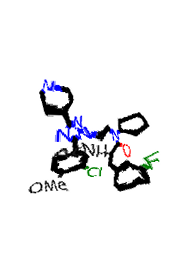 COc1ccc(-c2nc(-c3ccncc3)nn2CCN(C(=O)[C@H](Cc2cccc(F)c2)NC(C)=O)C2CCCC2)cc1Cl